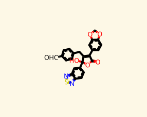 O=Cc1ccc(CC2=C(c3ccc4c(c3)OCO4)C(=O)OC2(O)c2ccc3nsnc3c2)cc1